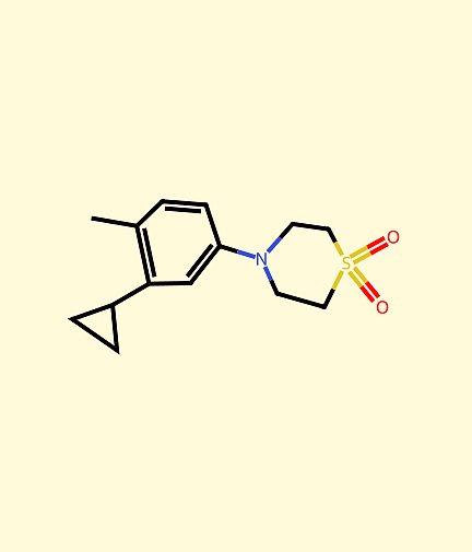 Cc1ccc(N2CCS(=O)(=O)CC2)cc1C1CC1